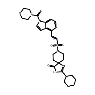 O=C(N1CCOCC1)n1ccc2c(/C=C/S(=O)(=O)N3CCC4(CC3)N=C(C3CCCCC3)NC4=O)cccc21